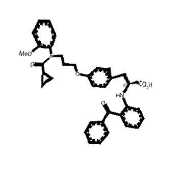 COc1ccccc1N(CCCOc1ccc(C[C@H](Nc2ccccc2C(=O)c2ccccc2)C(=O)O)cc1)C(=O)C1CC1